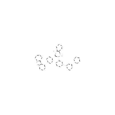 c1ccc(-c2cccc(-c3cccc(-c4nc5ccccc5nc4-c4ccc(-c5cccc6sc7ccccc7c56)cc4)c3)c2)cc1